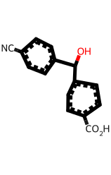 N#Cc1ccc(C(O)c2ccc(C(=O)O)cc2)cc1